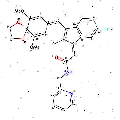 COC1=CC(=CC2=C(C)/C(=C\C(=O)NCc3ccccn3)c3cc(F)ccc32)C=C(OC)C12OCCO2